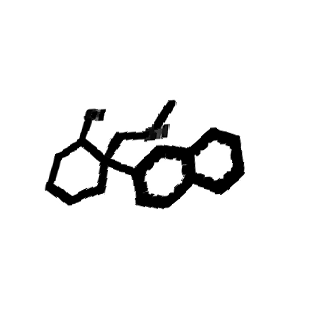 CNC[C@@]1(c2ccc3ccccc3c2)CCCCC1O